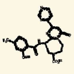 CCOC(=O)N1CCn2c(nc(-c3ccncn3)cc2=O)C(NC(=O)c2ccc(C(F)(F)F)cc2OC)C1